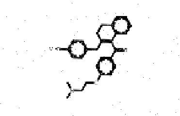 COc1ccc(CC2=C(C(=O)c3ccc(OCCN(C)C)cc3)c3ccccc3CC2)cc1